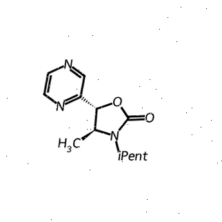 CCCC(C)N1C(=O)O[C@@H](c2cnccn2)[C@@H]1C